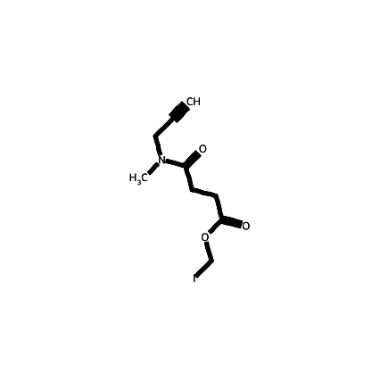 C#CCN(C)C(=O)CCC(=O)OCI